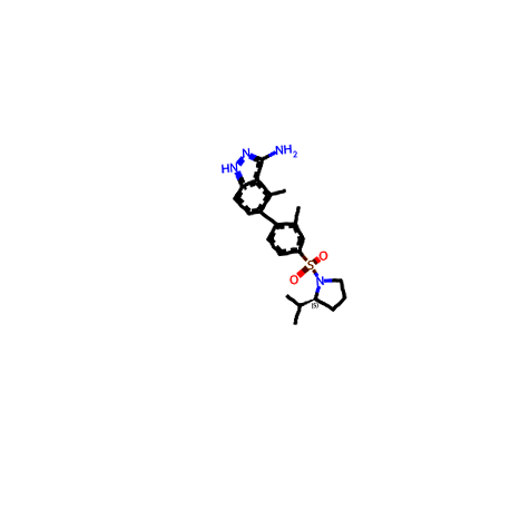 Cc1cc(S(=O)(=O)N2CCC[C@H]2C(C)C)ccc1-c1ccc2[nH]nc(N)c2c1C